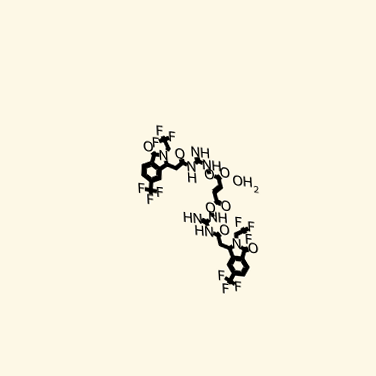 N=C(NOC(=O)/C=C/C(=O)ONC(=N)NC(=O)CC1c2cc(C(F)(F)F)ccc2C(=O)N1CC(F)(F)F)NC(=O)CC1c2cc(C(F)(F)F)ccc2C(=O)N1CC(F)(F)F.O